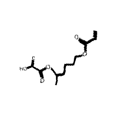 C=CC(=O)OCCCCC(C)OC(=O)C(=O)O